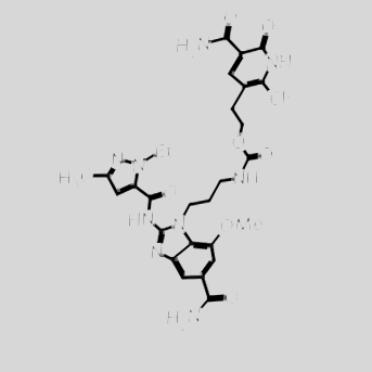 CCn1nc(C)cc1C(=O)Nc1nc2cc(C(N)=O)cc(OC)c2n1CCCNC(=O)OCCc1cc(C(N)=O)c(=O)[nH]c1C(F)(F)F